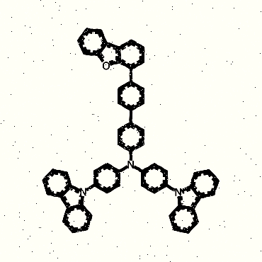 c1ccc2c(c1)oc1c(-c3ccc(-c4ccc(N(c5ccc(-n6c7ccccc7c7ccccc76)cc5)c5ccc(-n6c7ccccc7c7ccccc76)cc5)cc4)cc3)cccc12